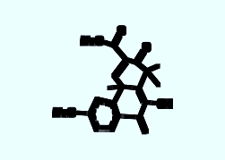 C=C1C(O)=C2C(C)(C)C(=O)C(C(=O)OC)=CC2(C)c2cc(OC)ccc21